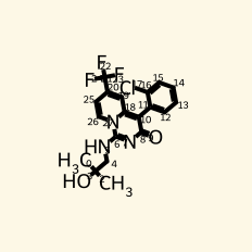 CC(C)(O)CNc1nc(=O)c(-c2ccccc2Cl)c2cc(C(F)(F)F)ccn12